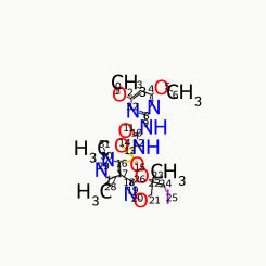 COc1cc(OC)nc(NC(=O)NS(=O)(=O)c2c(C3=NOCC(C)(CI)O3)c(C)nn2C)n1